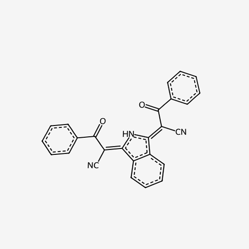 N#C/C(C(=O)c1ccccc1)=c1/[nH]/c(=C(/C#N)C(=O)c2ccccc2)c2ccccc12